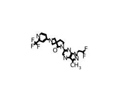 Cc1nn(CC(F)F)c2nc(N3CCC4(CN(c5ccnc(C(F)(F)F)c5)C4)C3=O)cnc12